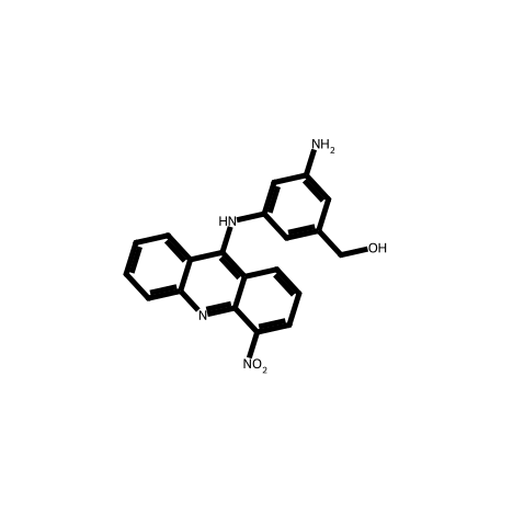 Nc1cc(CO)cc(Nc2c3ccccc3nc3c([N+](=O)[O-])cccc23)c1